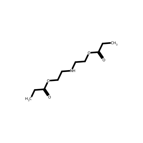 CCC(=O)OCCNCCOC(=O)CC